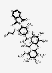 CC(=O)OC[C@H]1O[C@@H](O[C@@H]2[C@H](OC(C)=O)[C@@H](OC(C)=O)[C@H](O[C@H]3[C@H](OC(C)=O)[C@H](N4C(=O)c5ccccc5C4=O)[C@@H](OCCBr)O[C@@H]3COC(C)=O)O[C@@H]2COC(C)=O)[C@H](OC(C)=O)[C@@H](OC(C)=O)[C@H]1OC(C)=O